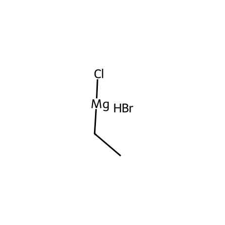 Br.C[CH2][Mg][Cl]